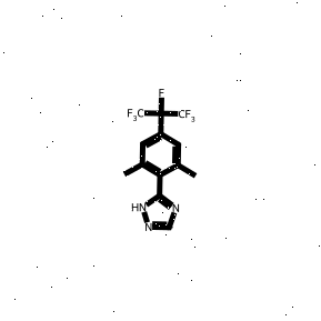 Cc1cc(C(F)(C(F)(F)F)C(F)(F)F)cc(C)c1-c1n[c]n[nH]1